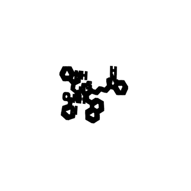 O=C(N[C@@H](Cc1c[nH]c2ccccc12)N1CSC(CCCc2c[nH]c3ccccc23)C1Cc1cccc2ccccc12)c1ccccn1